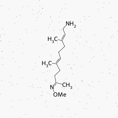 CO/N=C(\C)CC/C(C)=C/CC/C(C)=C/CN